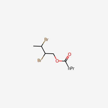 CCCC(=O)OCC(Br)C(C)Br